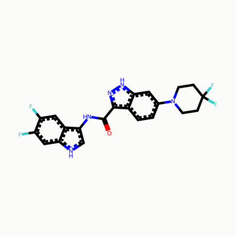 O=C(Nc1c[nH]c2cc(F)c(F)cc12)c1n[nH]c2cc(N3CCC(F)(F)CC3)ccc12